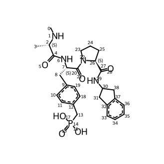 CN[C@@H](C)C(=O)N[C@@H](Cc1ccc(CP(=O)(O)O)cc1)C(=O)N1CCC[C@H]1C(=O)NC1Cc2ccccc2C1